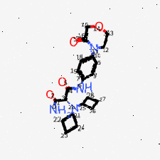 NC(=O)[C@H](C(=O)Nc1ccc(N2CCOCC2=O)cc1)N(C1CCC1)C1CCC1